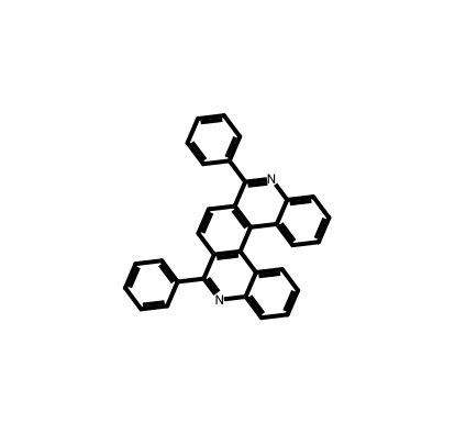 c1ccc(-c2nc3ccccc3c3c2ccc2c(-c4ccccc4)nc4ccccc4c23)cc1